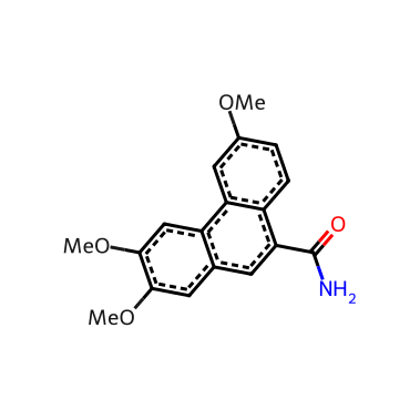 COc1ccc2c(C(N)=O)cc3cc(OC)c(OC)cc3c2c1